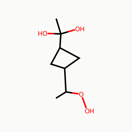 CC(OO)C1CC(C(C)(O)O)C1